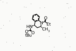 CCC(=O)N1c2ccccc2[C@H](NC(=O)OC(C)(C)C)C[C@@H]1C